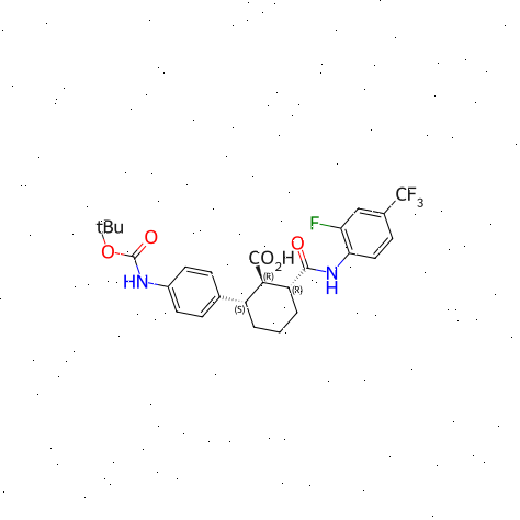 CC(C)(C)OC(=O)Nc1ccc([C@H]2CCC[C@@H](C(=O)Nc3ccc(C(F)(F)F)cc3F)[C@@H]2C(=O)O)cc1